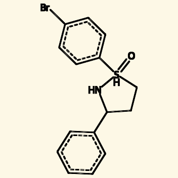 O=[SH]1(c2ccc(Br)cc2)CCC(c2ccccc2)N1